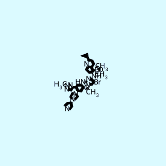 COc1cc(N2CCN(c3ccncc3)CC2)c(-c2cnn(C)n2)cc1Nc1ncc(Br)c(Nc2ccc3nc(C4CC4)ccc3c2P(C)(C)=O)n1